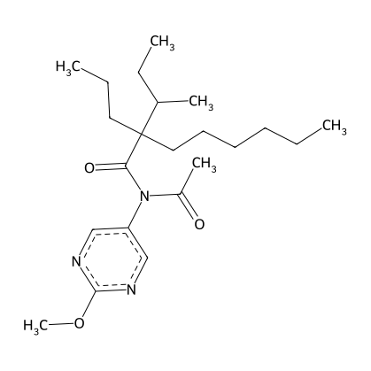 CCCCCCC(CCC)(C(=O)N(C(C)=O)c1cnc(OC)nc1)C(C)CC